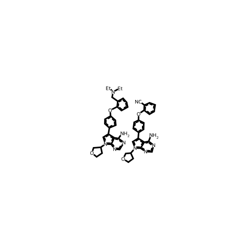 CCN(CC)Cc1ccccc1Oc1ccc(-c2cn(C3CCOC3)c3ncnc(N)c23)cc1.N#Cc1ccccc1Oc1ccc(-c2cn(C3CCOC3)c3ncnc(N)c23)cc1